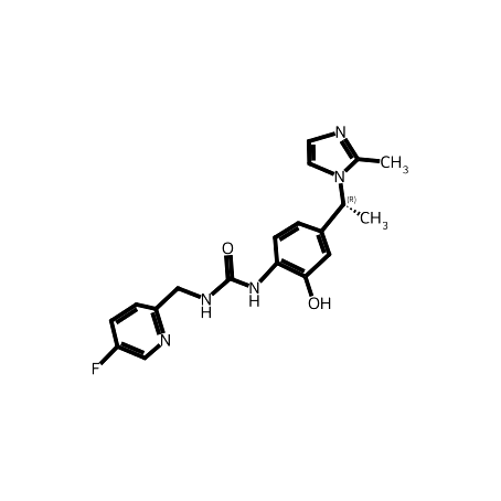 Cc1nccn1[C@H](C)c1ccc(NC(=O)NCc2ccc(F)cn2)c(O)c1